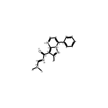 Cc1nn2c(-c3ccccc3)ccnc2c1C(=O)N=CN(C)C